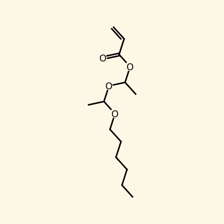 C=CC(=O)OC(C)OC(C)OCCCCCC